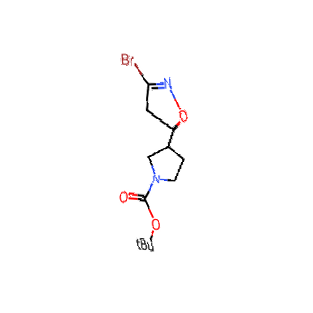 CC(C)(C)OC(=O)N1CCC(C2CC(Br)=NO2)C1